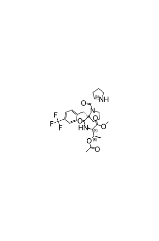 COC(=O)[C@H](NC(=O)[C@]1(Cc2ccc(C(F)(F)F)cc2)CCCN1C(=O)[C@@H]1CCCN1)[C@@H](C)OC(C)=O